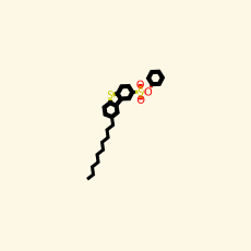 CCCCCCCCCCc1ccc2sc3ccc(S(=O)(=O)Oc4ccccc4)cc3c2c1